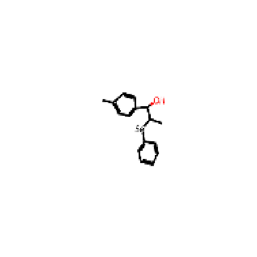 Cc1ccc(C(O)C(C)[Se]c2ccccc2)cc1